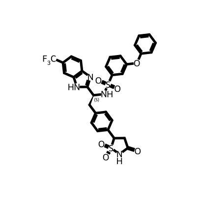 O=C1CC(c2ccc(C[C@H](NS(=O)(=O)c3cccc(Oc4ccccc4)c3)c3nc4ccc(C(F)(F)F)cc4[nH]3)cc2)S(=O)(=O)N1